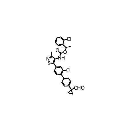 Cc1nsc(-c2ccc(-c3ccc(C4(C=O)CC4)cc3)c(Cl)c2)c1NC(=O)O[C@H](C)c1ccccc1Cl